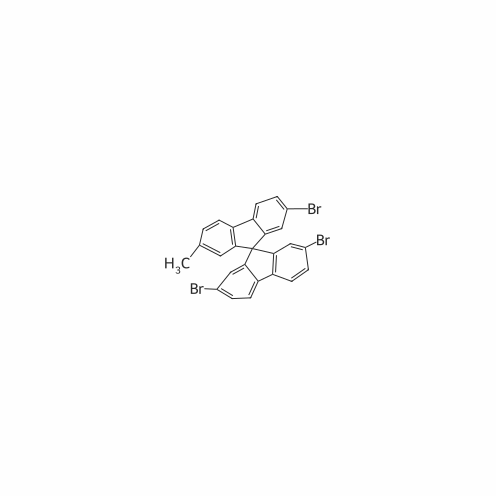 Cc1ccc2c(c1)C1(c3cc(Br)ccc3-2)c2cc(Br)ccc2-c2ccc(Br)cc21